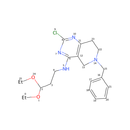 CCOC(CCNc1nc(Cl)nc2c1CN(Cc1ccccc1)CC2)OCC